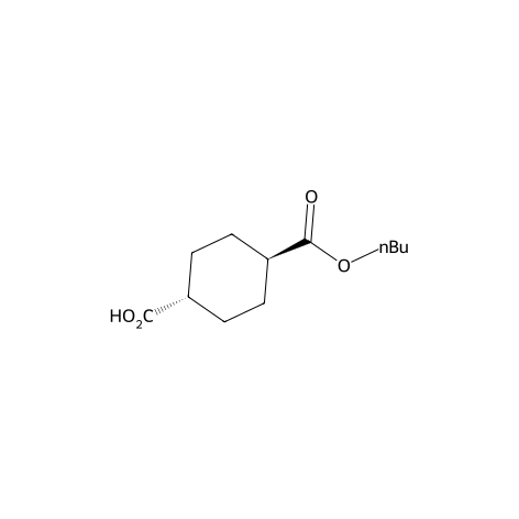 CCCCOC(=O)[C@H]1CC[C@H](C(=O)O)CC1